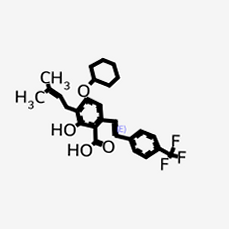 CC(C)=CCc1c(OC2CCCCC2)cc(/C=C/c2ccc(C(F)(F)F)cc2)c(C(=O)O)c1O